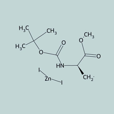 [CH2][C@@H](NC(=O)OC(C)(C)C)C(=O)OC.[I][Zn][I]